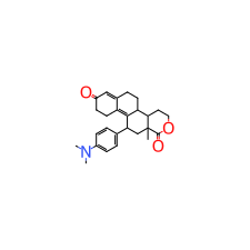 CN(C)c1ccc(C2CC3(C)C(=O)OCCC3C3CCC4=CC(=O)CCC4=C23)cc1